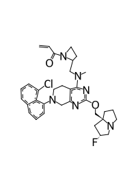 C=CC(=O)N1CCC1CN(C)c1nc(OC[C@@]23CCCN2C[C@H](F)C3)nc2c1CCN(c1cccc3cccc(Cl)c13)C2